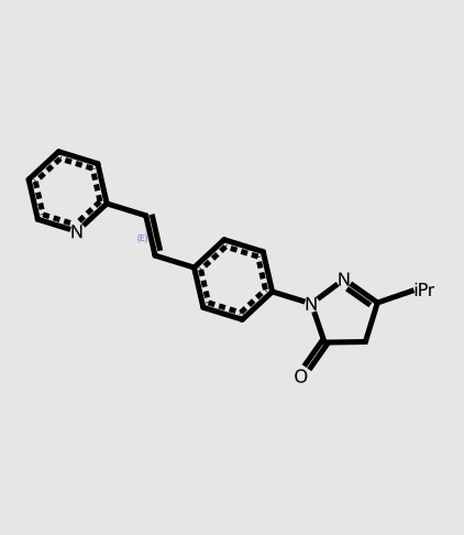 CC(C)C1=NN(c2ccc(/C=C/c3ccccn3)cc2)C(=O)C1